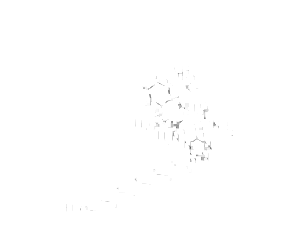 CCCCCCCCCCCCn1nnc(C(C(N)=O)C(=NN)Nc2c(C(C)C)cccc2C(C)C)n1